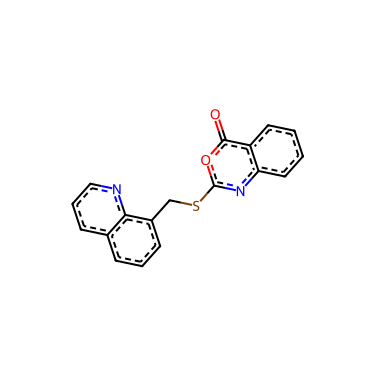 O=c1oc(SCc2cccc3cccnc23)nc2ccccc12